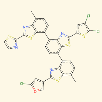 Cc1ccc(-c2ccc(-c3ccc(C)c4sc(-c5coc(Cl)c5)nc34)c3sc(-c4cc(Cl)c(Cl)s4)nc23)c2sc(-c3nccs3)nc12